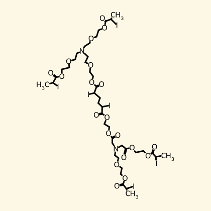 CC(I)C(=O)OCCOCCN(CCOCCOC(=O)C(C)I)CCOCCOC(=O)C(I)CCC(I)C(=O)OCCOC(=O)CN(CCOCCOC(=O)C(C)I)CC(=O)OCCOC(=O)C(C)I